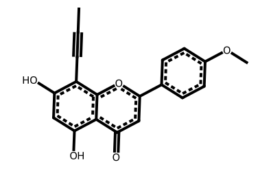 CC#Cc1c(O)cc(O)c2c(=O)cc(-c3ccc(OC)cc3)oc12